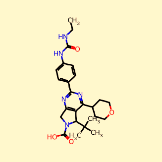 CCNC(=O)Nc1ccc(-c2nc3c(c(C4CCOCC4)n2)C(C(C)(C)C)N(C(=O)O)C3)cc1